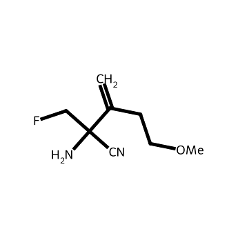 C=C(CCOC)C(N)(C#N)CF